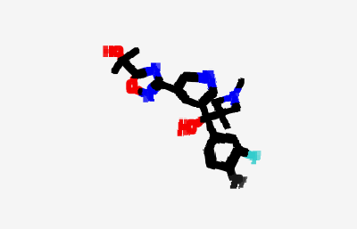 CC(C)c1ccc([C@](O)(c2cncc(-c3noc(C(C)(C)O)n3)c2)C2(C)CN(C)C2)cc1F